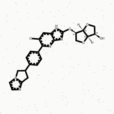 O[C@@H]1CO[C@H]2[C@@H]1OC[C@H]2Oc1nc2nc(-c3ccc(C4Cc5nccn5C4)cc3)c(Cl)cc2[nH]1